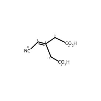 N#CC=C(CC(=O)O)CC(=O)O